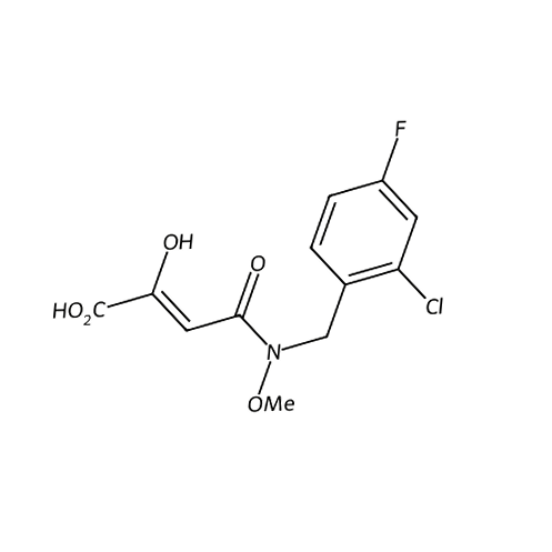 CON(Cc1ccc(F)cc1Cl)C(=O)C=C(O)C(=O)O